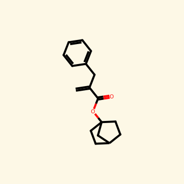 C=C(Cc1ccccc1)C(=O)OC12CCC(CC1)C2